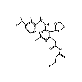 C=C(CCF)NC(=O)Cc1nc(C)nc(N[C@H](C)c2cccc(C(F)F)c2F)c1C1OCCO1